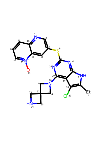 CCc1[nH]c2nc(Sc3cnc4ccc[n+]([O-])c4c3)nc(N3CC4(CNC4)C3)c2c1Cl